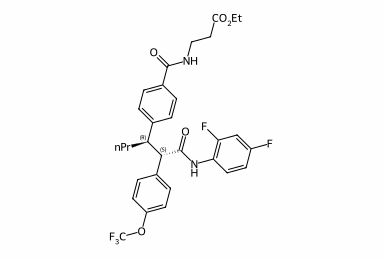 CCC[C@@H](c1ccc(C(=O)NCCC(=O)OCC)cc1)[C@H](C(=O)Nc1ccc(F)cc1F)c1ccc(OC(F)(F)F)cc1